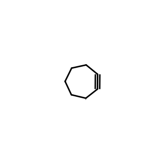 C1#CCCCC[CH]1